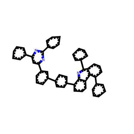 c1ccc(-c2cc(-c3cccc(-c4ccc(-c5cccc6c5nc(-c5ccccc5)c5cccc(-c7ccccc7)c56)cc4)c3)nc(-c3ccccc3)n2)cc1